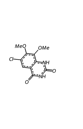 COc1c(Cl)cc2c(=O)[nH]c(=O)[nH]c2c1OC